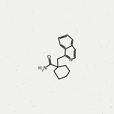 NC(=O)C1(Cc2nccc3ccccc23)CCCCC1